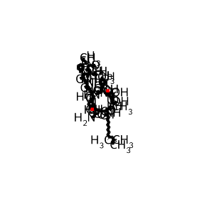 CC[C@H](C)C[C@H](C)CCCCCCCCC(=O)N[C@H]1C[C@@H](O)[C@@H](OCCN)NC(=O)[C@@H]2[C@@H](O)CCN2C(=O)[C@H]([C@H](O)CCNC(=O)[C@@H](N)CNC(=O)[C@H](Cc2ccccc2)NC(=O)[C@H](CC(C)C)NC(=O)[C@H](CCSC)NC=O)NC(=O)[C@H]([C@H](O)[C@@H](O)c2ccc(O)cc2)NC(=O)[C@@H]2C[C@@H](O)CN2C(=O)[C@H]([C@@H](C)O)NC1=O